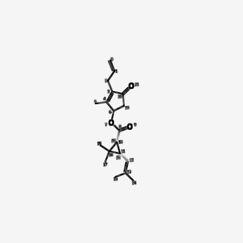 C=CCC1=C(C)C(OC(=O)[C@@H]2[C@H](C=C(C)C)C2(C)C)CC1=O